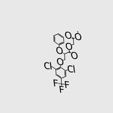 COC(=O)COC(=O)C(COc1c(Cl)cc(C(F)(F)F)cc1Cl)Oc1ccccc1